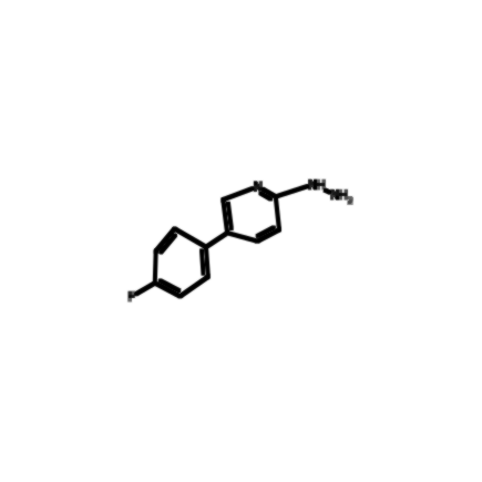 NNc1ccc(-c2ccc(F)cc2)cn1